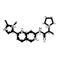 Cc1ncc(-c2ccc3cnc(NC(=O)C(C)N4CCCC4)cc3n2)n1C